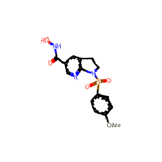 COc1ccc(S(=O)(=O)N2CCc3cc(C(=O)NO)cnc32)cc1